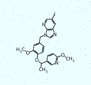 COc1ccc(C(C)Oc2ccc(Cn3cnc4cc(I)cnc43)cc2OC)cn1